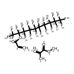 C=C(C)C(=O)OC.C=CC(=O)OC(F)(C(F)(F)F)C(F)(F)C(F)(F)C(F)(F)C(F)(F)C(F)(F)C(F)(F)C(F)(F)C(F)(F)F